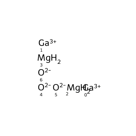 [Ga+3].[Ga+3].[MgH2].[MgH2].[O-2].[O-2].[O-2]